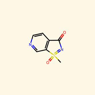 CS1(=O)=NC(=O)c2ccncc21